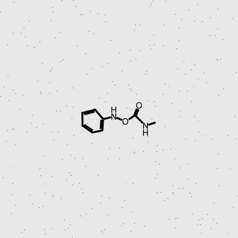 CNC(=O)ONc1ccccc1